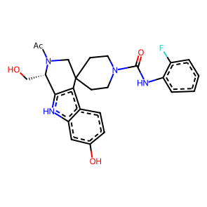 CC(=O)N1CC2(CCN(C(=O)Nc3ccccc3F)CC2)c2c([nH]c3cc(O)ccc23)[C@@H]1CO